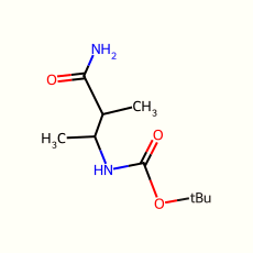 CC(NC(=O)OC(C)(C)C)C(C)C(N)=O